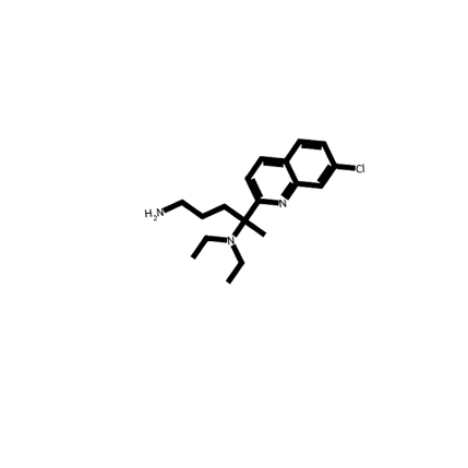 CCN(CC)C(C)(CCCN)c1ccc2ccc(Cl)cc2n1